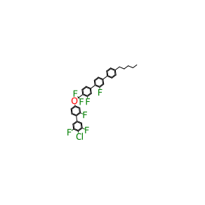 CCCCCc1ccc(-c2ccc(-c3ccc(C(F)(F)Oc4ccc(-c5cc(F)c(Cl)c(F)c5)c(F)c4)c(F)c3)c(F)c2)cc1